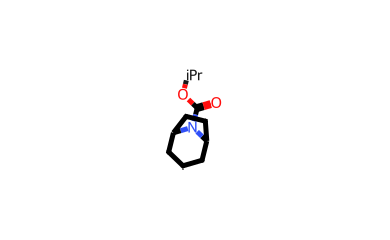 CC(C)OC(=O)N1C2C[CH]CC1CC2